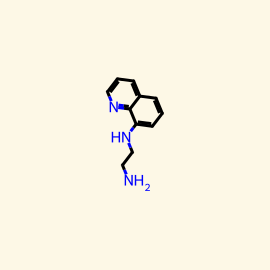 NCCNc1cccc2cccnc12